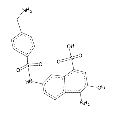 NCc1ccc(S(=O)(=O)Nc2ccc3c(N)c(O)cc(S(=O)(=O)O)c3c2)cc1